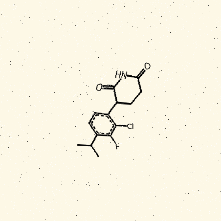 CC(C)c1ccc(C2CCC(=O)NC2=O)c(Cl)c1F